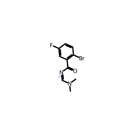 CN(C)/C=N\C(=O)c1cc(F)ccc1Br